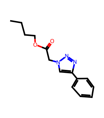 CCCCOC(=O)Cn1cc(-c2ccccc2)nn1